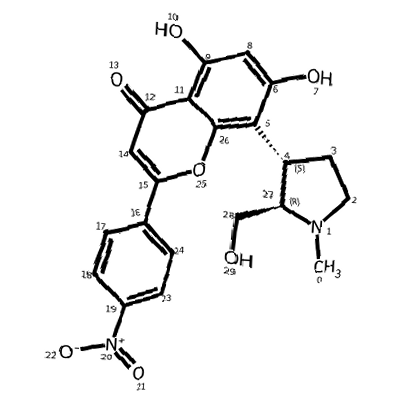 CN1CC[C@@H](c2c(O)cc(O)c3c(=O)cc(-c4ccc([N+](=O)[O-])cc4)oc23)[C@@H]1CO